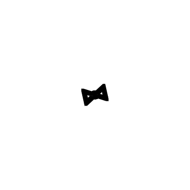 [CH2]1[CH2][Pt]123([CH2][CH2]2)[CH2][CH2]3